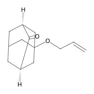 C=CCOC12CC3C[C@H](C1)C(=O)[C@@H](C3)C2